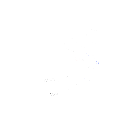 COc1ccc(CN2CCc3nc(C)n(C(c4ccccc4)c4ccccc4)c(=O)c3C2)cc1OC